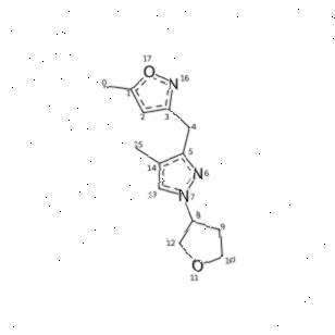 Cc1cc(Cc2nn(C3CCOC3)cc2C)no1